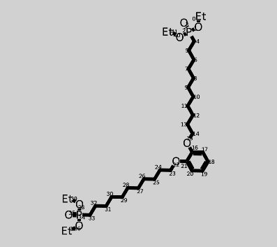 CCOP(=O)(CCCCCCCCCCCOc1ccccc1OCCCCCCCCCCCP(=O)(OCC)OCC)OCC